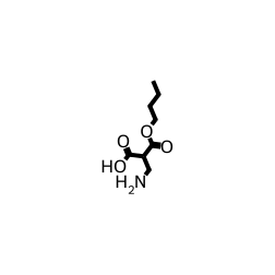 CCCCOC(=O)C(CN)C(=O)O